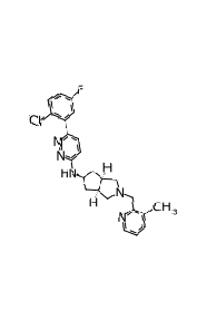 Cc1cccnc1CN1C[C@H]2C[C@@H](Nc3ccc(-c4cc(F)ccc4Cl)nn3)C[C@H]2C1